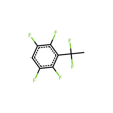 CC(F)(F)c1c(F)c(F)[c]c(F)c1F